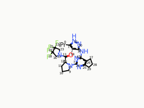 CC(C)c1cc(Nc2nc(N3CCC[C@H]3C(=O)N3CC(F)(F)C(F)(F)C3)nc3c2CCC3)n[nH]1